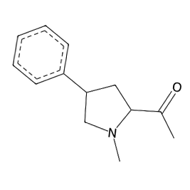 CC(=O)C1CC(c2ccccc2)CN1C